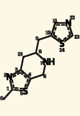 Cc1nc2c(s1)CNC(Cc1cncs1)C2